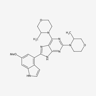 COc1cc(-c2nc3c(N4CCOCC4C)nc(N4CCOCC4C)nc3[nH]2)c2cc[nH]c2c1